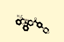 C[C@H](NC(=O)C1(c2ccccc2)CCN(C(=O)c2ccc(N3CCOCC3)cc2)CC1)c1ccccc1